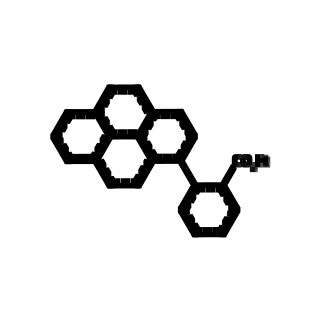 CCOC(=O)c1ccccc1-c1ccc2ccc3cccc4ccc1c2c34